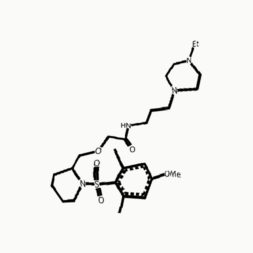 CCN1CCN(CCCNC(=O)COCC2CCCCN2S(=O)(=O)c2c(C)cc(OC)cc2C)CC1